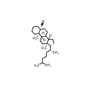 CC(C)CCC[C@@H](C)[C@H]1CC[C@H]2[C@@H]3CC[C@]4(C#N)CCCC[C@]4(C)[C@H]3CC[C@]12C